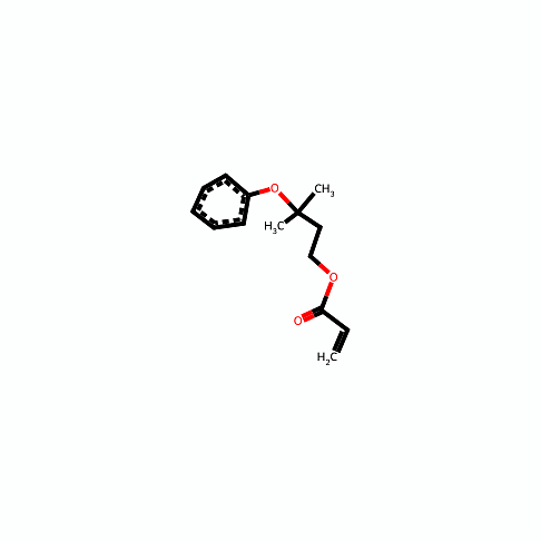 C=CC(=O)OCCC(C)(C)Oc1ccccc1